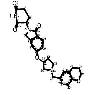 O=C1CCC(N2Cc3cc(O[C@H]4CCN(Cc5cc6c(cn5)OCCC6)C4)ccc3C2=O)C(=O)N1